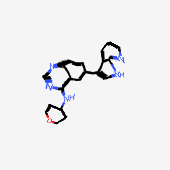 c1cnc2[nH]cc(-c3ccc4ncnc(NC5CCOCC5)c4c3)c2c1